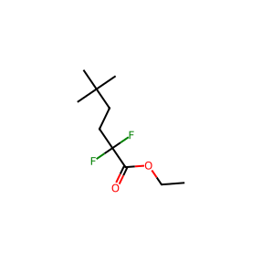 CCOC(=O)C(F)(F)CCC(C)(C)C